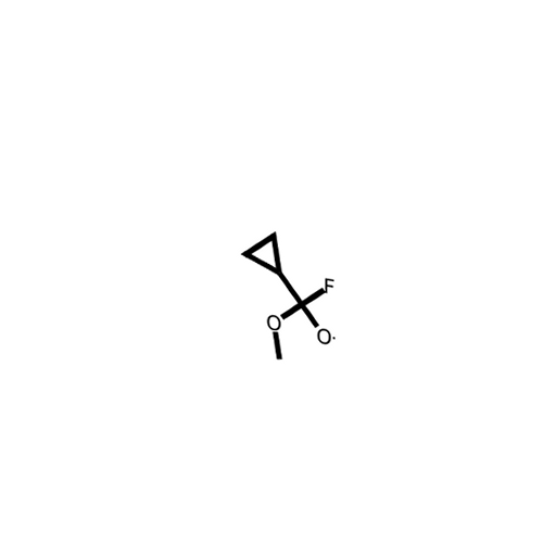 COC([O])(F)C1CC1